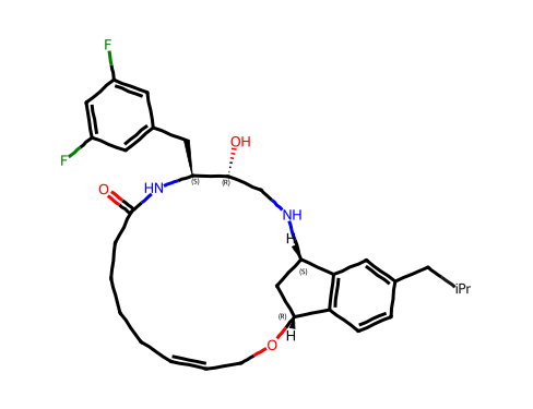 CC(C)Cc1ccc2c(c1)[C@@H]1C[C@H]2OCC=CCCCCC(=O)N[C@@H](Cc2cc(F)cc(F)c2)[C@H](O)CN1